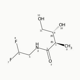 C[C@@H](C(=O)NCC(F)F)[C@@H](O)CO